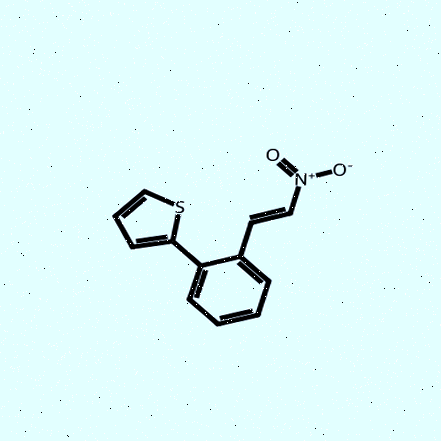 O=[N+]([O-])C=Cc1ccccc1-c1cccs1